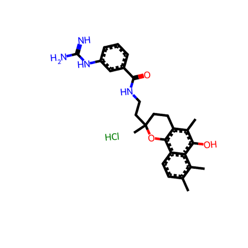 Cc1ccc2c3c(c(C)c(O)c2c1C)CCC(C)(CCNC(=O)c1cccc(NC(=N)N)c1)O3.Cl